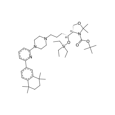 CC[Si](CC)(CC)O[C@H](CCCN1CCN(c2cccc(-c3ccc4c(c3)C(C)(C)CCC4(C)C)n2)CC1)[C@@H]1COC(C)(C)N1C(=O)OC(C)(C)C